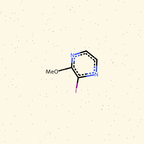 COc1nccnc1I